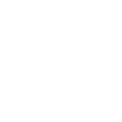 C=C/C=C\C(C)=C/NCC